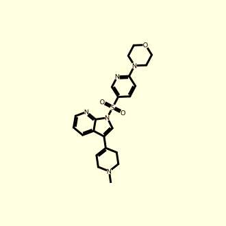 CN1CC=C(c2cn(S(=O)(=O)c3ccc(N4CCOCC4)nc3)c3ncccc23)CC1